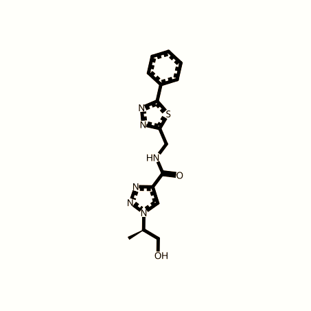 C[C@H](CO)n1cc(C(=O)NCc2nnc(-c3ccccc3)s2)nn1